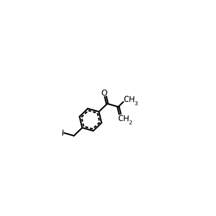 C=C(C)C(=O)c1ccc(CI)cc1